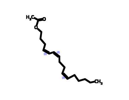 CCCCC/C=C\CC/C=C\C=C/CCCOC(C)=O